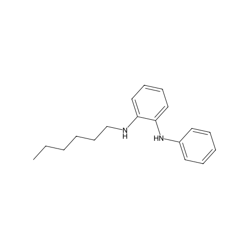 CCCCCCNc1ccccc1Nc1ccccc1